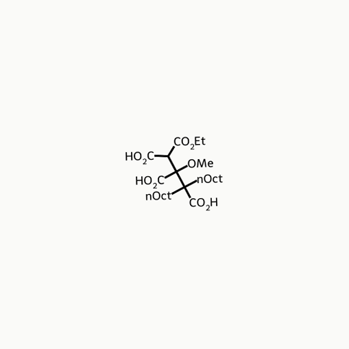 CCCCCCCCC(CCCCCCCC)(C(=O)O)C(OC)(C(=O)O)C(C(=O)O)C(=O)OCC